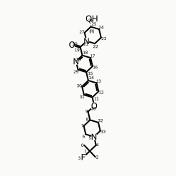 CC(C)(F)CN1CCC(COc2ccc(-c3ccc(C(=O)N4CCC[C@@H](O)C4)nc3)cc2)CC1